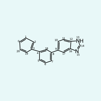 c1ccc(-c2cccc(-c3ccc4[nH]cnc4c3)c2)cc1